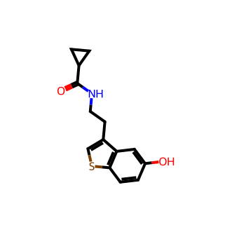 O=C(NCCc1csc2ccc(O)cc12)C1CC1